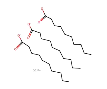 CCCCCCCCCC(=O)[O-].CCCCCCCCCC(=O)[O-].CCCCCCCCCC(=O)[O-].[Sm+3]